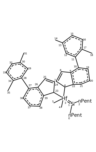 CCCCC[Si](CCCCC)=[Hf]([CH3])([CH3])([CH]1C=Cc2c(-c3cc(C)ccc3C)cccc21)[CH]1C=Cc2c(-c3cc(C)ccc3C)cccc21